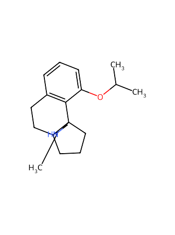 CC(C)Oc1cccc2c1C13CCCC1(CC2)C(C)NCC3